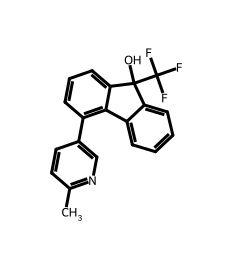 Cc1ccc(-c2cccc3c2-c2ccccc2C3(O)C(F)(F)F)cn1